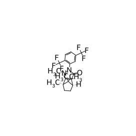 Cn1c2c(c(=O)n1-c1cc(C(F)(F)F)ccc1C(F)(F)F)[C@H]1CC[C@]2(C)C1(C)C